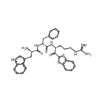 N=C(N)NCCC[C@H](NC(=O)C(Cc1ccccc1)NC(=O)[C@H](N)Cc1c[nH]c2ccccc12)C(=O)c1nc2ccccc2s1